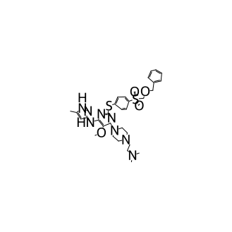 COc1c(Nc2cc(C)[nH]n2)nc(Sc2ccc(S(=O)(=O)COCc3ccccc3)cc2)nc1N1CCN(CCN(C)C)CC1